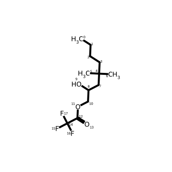 CCCCC(C)(C)CC(O)COC(=O)C(F)(F)F